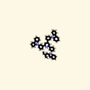 C=Cc1ccc2c3ccccc3n(-c3cccc(-c4cc(-c5cccc(-n6c7ccccc7c7ccccc76)c5)cc(-c5cccc(-n6c7ccccc7c7ccccc76)c5)n4)c3)c2c1